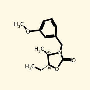 CC[C@H]1OC(=O)N(Cc2cccc(OC)c2)[C@@H]1C